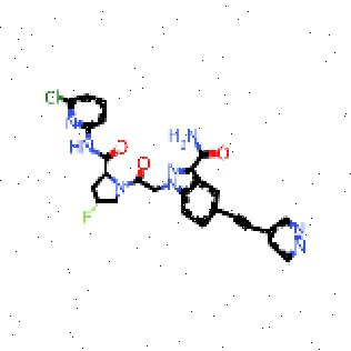 NC(=O)c1nn(CC(=O)N2C[C@H](F)C[C@H]2C(=O)Nc2cccc(Cl)n2)c2ccc(C#Cc3ccnnc3)cc12